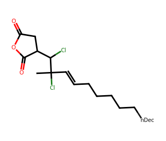 CCCCCCCCCCCCCCCC=CC(C)(Cl)C(Cl)C1CC(=O)OC1=O